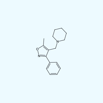 Cc1onc(-c2ccccc2)c1CN1CCCCC1